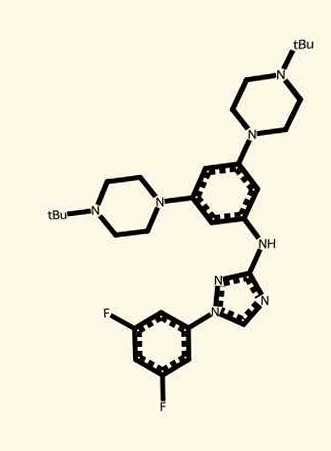 CC(C)(C)N1CCN(c2cc(Nc3ncn(-c4cc(F)cc(F)c4)n3)cc(N3CCN(C(C)(C)C)CC3)c2)CC1